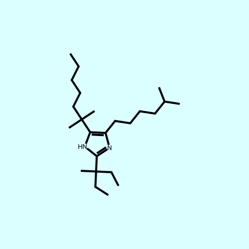 CCCCCC(C)(C)c1[nH]c(C(C)(CC)CC)nc1CCCCC(C)C